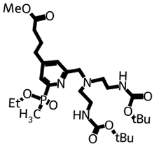 CCOP(C)(=O)c1cc(CCCC(=O)OC)cc(CN(CCNC(=O)OC(C)(C)C)CCNC(=O)OC(C)(C)C)n1